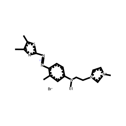 CCN(CCn1cc[n+](C)c1)c1ccc(/N=N/c2nc(C)c(C)s2)c(C)c1.[Br-]